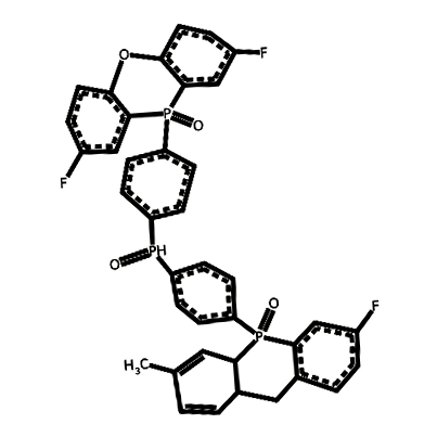 CC1=CC2C(C=C1)Cc1ccc(F)cc1P2(=O)c1ccc([PH](=O)c2ccc(P3(=O)c4cc(F)ccc4Oc4ccc(F)cc43)cc2)cc1